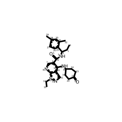 CCC(NC(=O)c1cnc2c(cnn2CC)c1NC1CCC(=O)CC1)c1ccc(C)cc1C